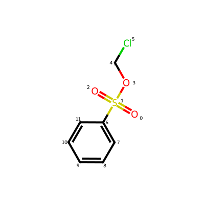 O=S(=O)(O[CH]Cl)c1ccccc1